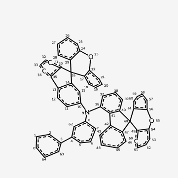 c1ccc(-c2cccc(N(c3ccc4c(c3)C3(c5ccccc5Oc5ccccc53)c3ccccc3-4)c3cccc4c3-c3ccccc3C43c4ccccc4Oc4ccccc43)c2)cc1